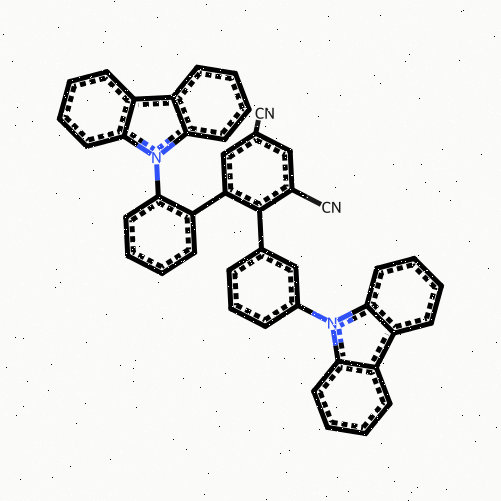 N#Cc1cc(C#N)c(-c2cccc(-n3c4ccccc4c4ccccc43)c2)c(-c2ccccc2-n2c3ccccc3c3ccccc32)c1